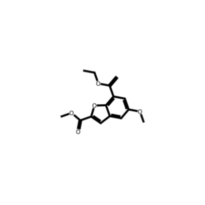 C=C(OCC)c1cc(OC)cc2cc(C(=O)OC)oc12